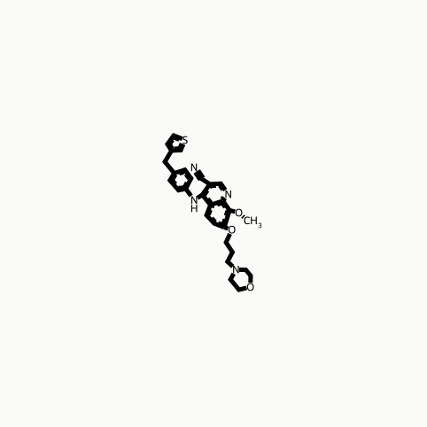 COc1c(OCCCN2CCOCC2)ccc2c(Nc3ccc(Cc4ccsc4)cc3)c(C#N)cnc12